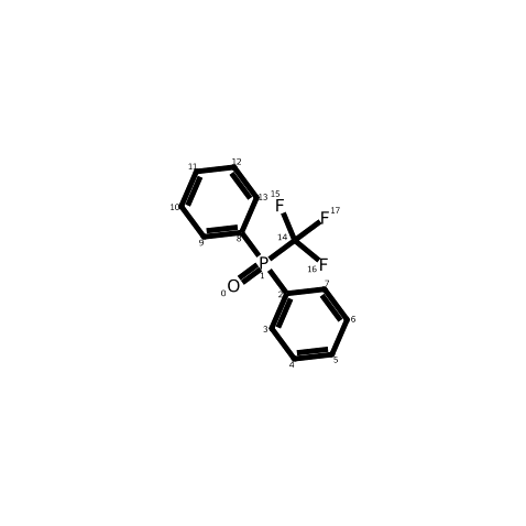 O=P(c1ccccc1)(c1ccccc1)C(F)(F)F